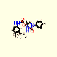 CC1(OC(=O)Nc2ccc([N+](=O)[O-])c(C(F)(F)F)c2)CN(c2ccccc2)C(=O)N1